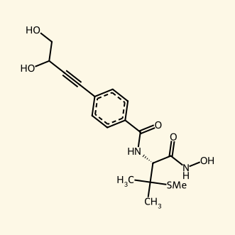 CSC(C)(C)[C@H](NC(=O)c1ccc(C#CC(O)CO)cc1)C(=O)NO